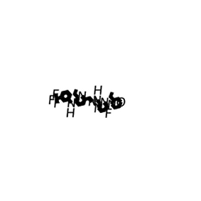 CCc1nc(/C=N/Nc2ncc(F)c(N3CCOCC3CC)n2)ccc1Nc1cccc(C(F)(F)F)c1